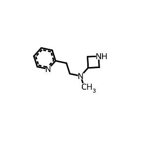 CN(CCc1ccccn1)C1CNC1